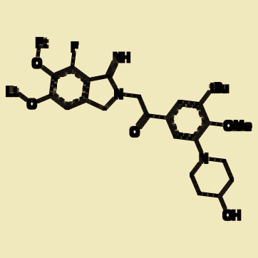 CCOc1cc2c(c(F)c1OCC)C(=N)N(CC(=O)c1cc(N3CCC(O)CC3)c(OC)c(C(C)(C)C)c1)C2